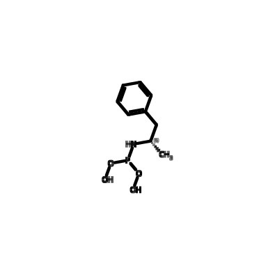 C[C@@H](Cc1ccccc1)NP(OO)OO